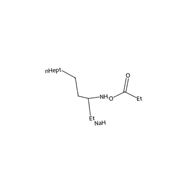 CCCCCCCCCC(CC)NOC(=O)CC.[NaH]